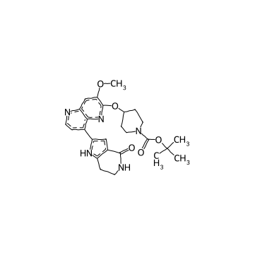 COc1cc2nccc(-c3cc4c([nH]3)CCNC4=O)c2nc1OC1CCN(C(=O)OC(C)(C)C)CC1